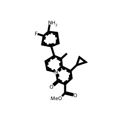 COC(=O)c1cc(C2CC2)c2c(C)c(-c3ccc(N)c(F)c3)ccn2c1=O